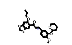 CCCOc1cc2c(cc1C(=O)/C=C/c1ccc(OC)c(OC3CCCCO3)c1)SCO2